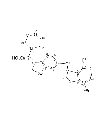 O=C(O)C([C@H]1COc2cc(O[C@@H]3CCc4c(Br)ccc(F)c43)ccc21)N1CCOCC1